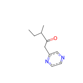 CCC(C)C(=O)Cc1cnccn1